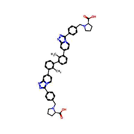 Cc1c(-c2ccn3c(-c4ccc(CN5CCC[C@@H]5C(=O)O)cc4)nnc3c2)cccc1-c1cccc(-c2ccn3c(-c4ccc(CN5CCC[C@@H]5C(=O)O)cc4)nnc3c2)c1C